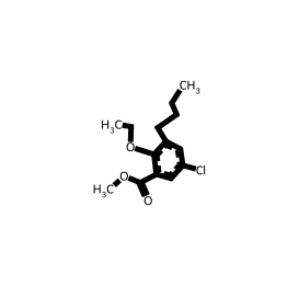 CCCCc1cc(Cl)cc(C(=O)OC)c1OCC